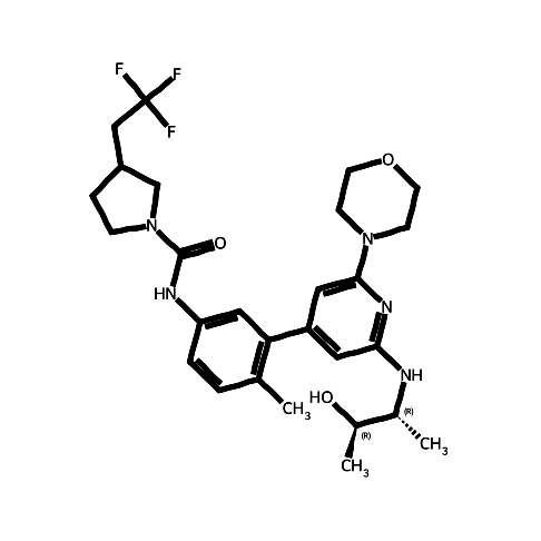 Cc1ccc(NC(=O)N2CCC(CC(F)(F)F)C2)cc1-c1cc(N[C@H](C)[C@@H](C)O)nc(N2CCOCC2)c1